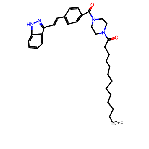 CCCCCCCCCCCCCCCCCCCCCC(=O)N1CCN(C(=O)c2ccc(/C=C/c3n[nH]c4ccccc34)cc2)CC1